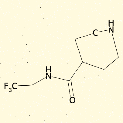 O=C(NCC(F)(F)F)C1CCNCC1